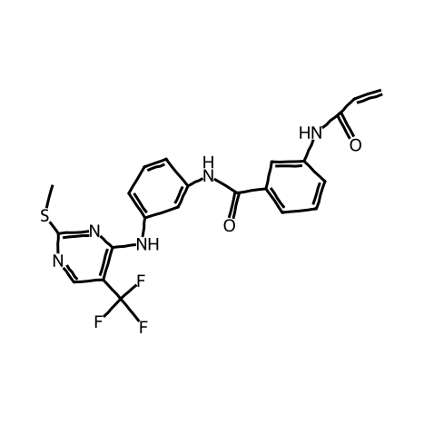 C=CC(=O)Nc1cccc(C(=O)Nc2cccc(Nc3nc(SC)ncc3C(F)(F)F)c2)c1